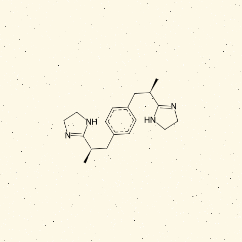 C[C@H](Cc1ccc(C[C@@H](C)C2=NCCN2)cc1)C1=NCCN1